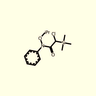 CC(C)ON(C(=O)C(Cl)[Si](C)(C)C)c1ccccc1